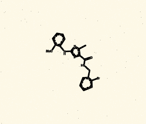 COc1ccccc1Nc1nc(C)c(C(=O)NCc2ccccc2Br)s1